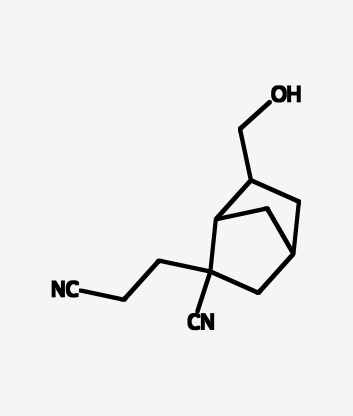 N#CCCC1(C#N)CC2CC(CO)C1C2